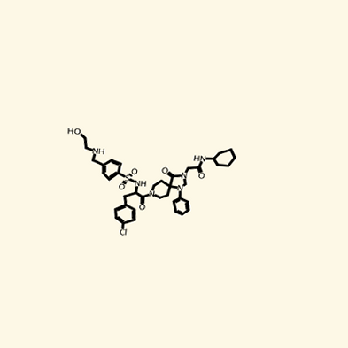 O=C(CN1CN(c2ccccc2)C2(CCN(C(=O)C(Cc3ccc(Cl)cc3)NS(=O)(=O)c3ccc(CNCCO)cc3)CC2)C1=O)NC1CCCCC1